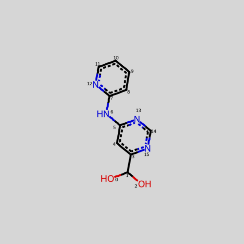 OC(O)c1cc(Nc2ccccn2)ncn1